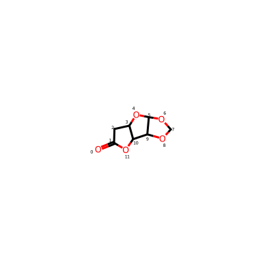 O=C1CC2OC3OCOC3C2O1